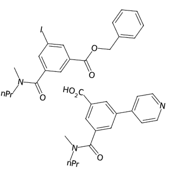 CCCN(C)C(=O)c1cc(C(=O)O)cc(-c2ccncc2)c1.CCCN(C)C(=O)c1cc(I)cc(C(=O)OCc2ccccc2)c1